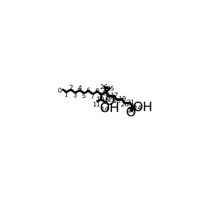 CCCCCCCCCC(C(C)C(=O)O)C1(CCCCCCC(=O)O)CC1